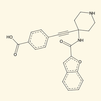 O=C(O)c1ccc(C#CC2(NC(=O)c3cc4ccccc4o3)CCNCC2)cc1